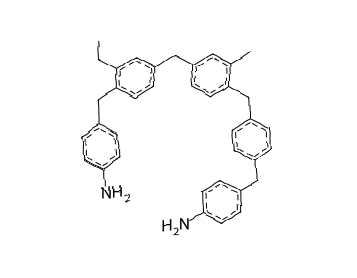 CCc1cc(Cc2ccc(Cc3ccc(Cc4ccc(N)cc4)cc3)c(C)c2)ccc1Cc1ccc(N)cc1